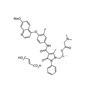 COc1ccc2c(Oc3ccc(NC(=O)c4c(C)n(C[C@@H](C)OC(=O)CN(C)C)n(-c5ccccc5)c4=O)cc3F)ccnc2c1.O=C(O)C=CC(=O)O